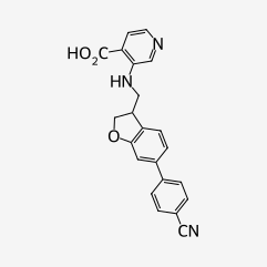 N#Cc1ccc(-c2ccc3c(c2)OCC3CNc2cnccc2C(=O)O)cc1